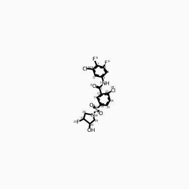 O=C(Nc1cc(F)c(F)c(Cl)c1)c1cc(S(=O)(=O)N2CC(O)C(F)C2)ccc1Cl